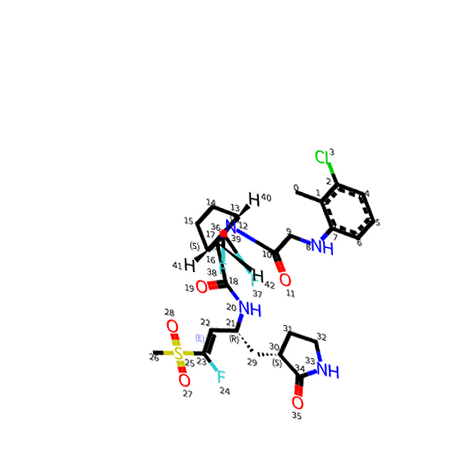 Cc1c(Cl)cccc1NCC(=O)N1[C@H]2CC[C@@H]([C@H]1C(=O)N[C@@H](/C=C(\F)S(C)(=O)=O)C[C@@H]1CCNC1=O)C(F)(F)C2